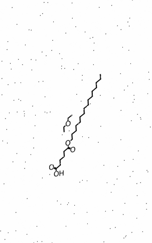 CCCCCCCCCCCCCCCCOC(=O)CCCCC(=O)O.CCOCC